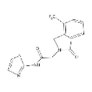 O=C(CN1Cc2c(cccc2C(F)(F)F)C1=O)Nc1nccs1